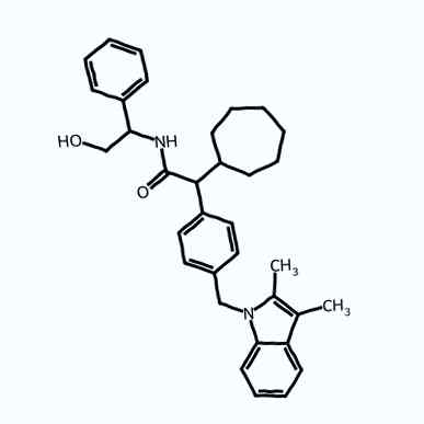 Cc1c(C)n(Cc2ccc(C(C(=O)NC(CO)c3ccccc3)C3CCCCCC3)cc2)c2ccccc12